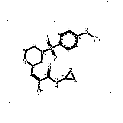 C/C(=C/C1CN(S(=O)(=O)c2ccc(OC(F)(F)F)cc2)CCO1)C(=O)NC1CC1